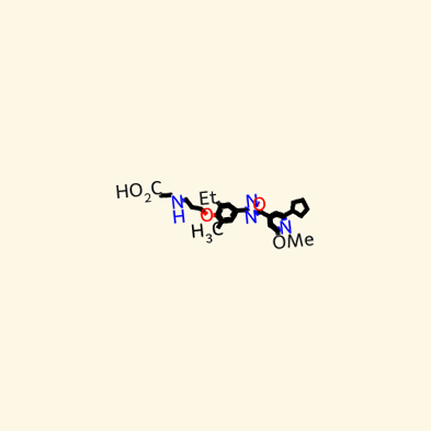 CCc1cc(-c2noc(-c3cc(OC)nc(C4CCCC4)c3)n2)cc(C)c1OCCCNCCC(=O)O